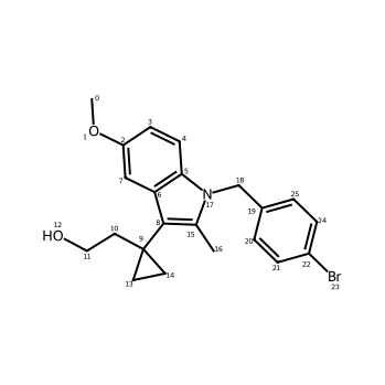 COc1ccc2c(c1)c(C1(CCO)CC1)c(C)n2Cc1ccc(Br)cc1